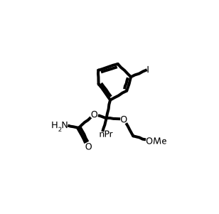 CCCC(OCOC)(OC(N)=O)c1cccc(I)c1